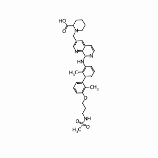 Cc1c(Nc2nccc3cc(CN4CCCCC4C(=O)O)cnc23)cccc1-c1cccc(OCCCNS(C)(=O)=O)c1C